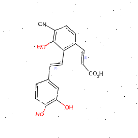 O=Nc1ccc(/C=C/C(=O)O)c(/C=C/c2ccc(O)c(O)c2)c1O